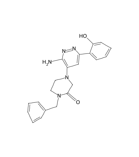 Nc1nnc(-c2ccccc2O)cc1N1CCN(Cc2ccccc2)C(=O)C1